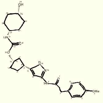 COc1ccc(CC(=O)Nc2cc([C@@H]3CC[C@H](OC(=O)N[C@H]4CC[C@@H](O)CC4)C3)[nH]n2)nc1